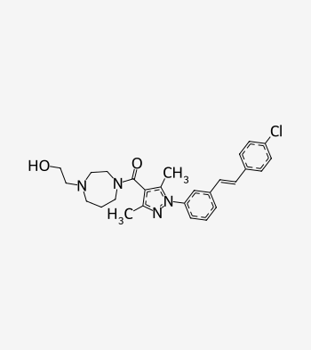 Cc1nn(-c2cccc(C=Cc3ccc(Cl)cc3)c2)c(C)c1C(=O)N1CCCN(CCO)CC1